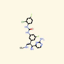 CC(C)(C)N/C=C(\C(=N)c1ccnc(N)n1)c1cc(F)cc(NC(=O)Nc2ccc(F)cc2Cl)c1